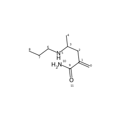 C=C(CC(C)NCCC)C(N)=O